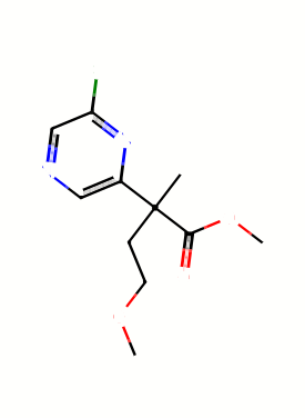 COCCC(C)(C(=O)OC)c1cncc(Cl)n1